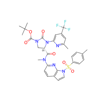 Cc1ccc(S(=O)(=O)n2ccc3ccc(N(C)C(=O)[C@@H]4CN(C(=O)OC(C)(C)C)C(=O)N4c4cc(C(F)(F)F)cc(C)n4)nc32)cc1